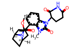 Cn1c(=O)n(C2CCC(=O)NC2=O)c2cccc(C3=C[C@@H]4CC[C@H](C3)N4C(=O)OC(C)(C)C)c21